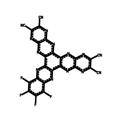 N#Cc1nc2nc3c4nc5nc(C#N)c(C#N)nc5nc4c4nc5c(F)c(F)c(F)c(F)c5nc4c3nc2nc1C#N